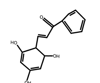 O=C(C=CC1C(O)=CC(O)=CC1O)c1ccccc1